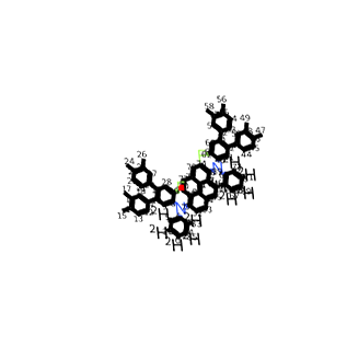 [2H]c1c([2H])c([2H])c(N(c2cc(-c3ccc(C)c(C)c3)c(-c3ccc(C)c(C)c3)cc2F)c2ccc3ccc4c(N(c5cc(-c6ccc(C)c(C)c6)c(-c6ccc(C)c(C)c6)cc5F)c5c([2H])c([2H])c([2H])c([2H])c5[2H])ccc5ccc2c3c54)c([2H])c1[2H]